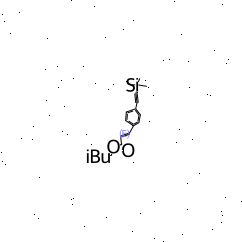 CCC(C)COC(=O)/C=C/c1ccc(C#C[Si](C)(C)C)cc1